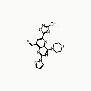 Cc1noc(-c2cc(C=S)c3nc(-n4cccn4)nc(N4CCOCC4)c3n2)n1